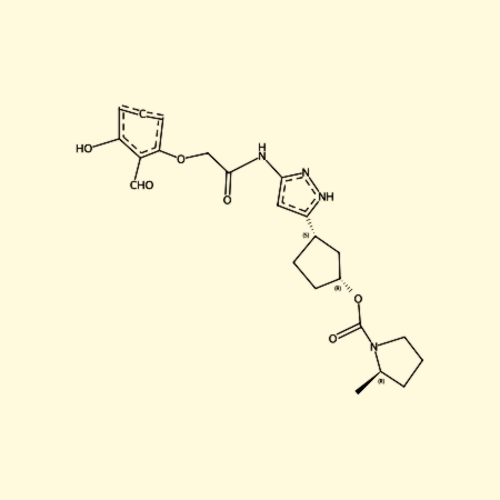 C[C@@H]1CCCN1C(=O)O[C@@H]1CC[C@H](c2cc(NC(=O)COc3cccc(O)c3C=O)n[nH]2)C1